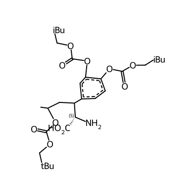 CCC(C)COC(=O)Oc1ccc(C(CC(C)OC(=O)OCC(C)(C)C)[C@H](N)C(=O)O)cc1OC(=O)OCC(C)CC